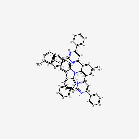 N#Cc1cccc(-c2ccc3c(c2)c2ccccc2n3-c2c(-c3cc(-c4ccccc4)nc(-c4ccccc4)n3)cc(C(F)(F)F)cc2-c2cc(-c3ccccc3)nc(-c3ccccc3)n2)c1